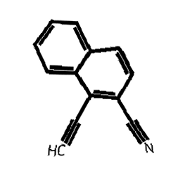 C#Cc1c(C#N)ccc2ccccc12